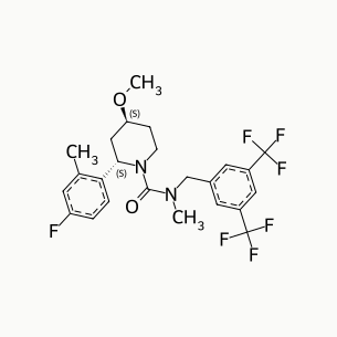 CO[C@H]1CCN(C(=O)N(C)Cc2cc(C(F)(F)F)cc(C(F)(F)F)c2)[C@H](c2ccc(F)cc2C)C1